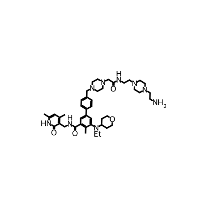 CCN(c1cc(-c2ccc(CN3CCN(CC(=O)NCCN4CCN(CCN)CC4)CC3)cc2)cc(C(=O)NCc2c(C)cc(C)[nH]c2=O)c1C)C1CCOCC1